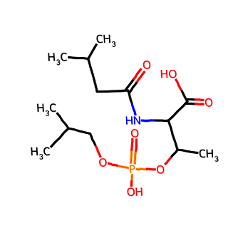 CC(C)COP(=O)(O)OC(C)C(NC(=O)CC(C)C)C(=O)O